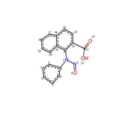 O=NN(c1ccccc1)c1c(C(=O)O)ccc2ccccc12